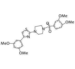 COc1cc(OC)cc(-c2csc(N3CCN(S(=O)(=O)c4ccc(OC)c(OC)c4)CC3)n2)c1